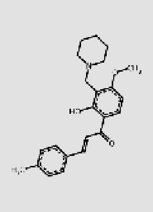 COc1ccc(C(=O)/C=C/c2ccc(C)cc2)c(O)c1CN1CCCCC1